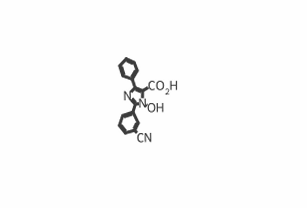 N#Cc1cccc(-c2nc(-c3ccccc3)c(C(=O)O)n2O)c1